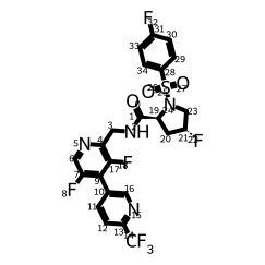 O=C(NCc1ncc(F)c(-c2ccc(C(F)(F)F)nc2)c1F)[C@@H]1C[C@@H](F)CN1S(=O)(=O)c1ccc(F)cc1